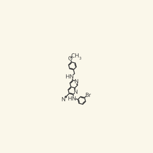 COc1ccc(CNc2cc3cc(C#N)c(Nc4cccc(Br)c4)nc3cn2)cc1